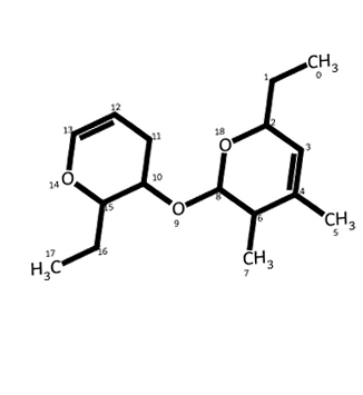 CCC1C=C(C)C(C)C(OC2CC=COC2CC)O1